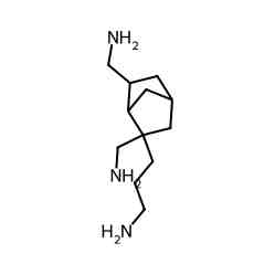 NCCCC1(CN)CC2CC(CN)C1C2